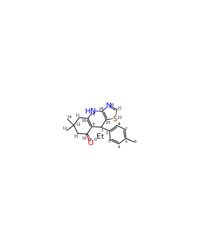 CC[C@]1(c2ccc(C)cc2)C2=C(CC(C)(C)CC2=O)Nc2ncsc21